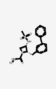 CCNC(=O)N1C[C@H](NS(C)(=O)=O)[C@@H]1Cc1cccc(-c2ccccc2)c1